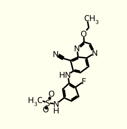 CCOc1cnc2ccc(Nc3cc(NS(C)(=O)=O)ccc3F)c(C#N)c2n1